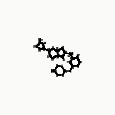 c1cc(CN2CCNCC2)cc(Nc2cn3cc(-c4cn[nH]c4)ccc3n2)n1